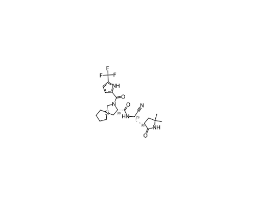 CC1(C)C[C@@H](C[C@@H](C#N)NC(=O)[C@@H]2C[Si]3(CCCC3)CN2C(=O)c2ccc(C(F)(F)F)[nH]2)C(=O)N1